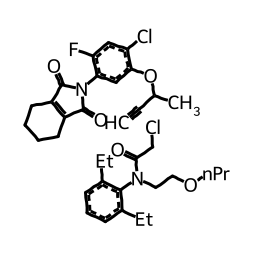 C#CC(C)Oc1cc(N2C(=O)C3=C(CCCC3)C2=O)c(F)cc1Cl.CCCOCCN(C(=O)CCl)c1c(CC)cccc1CC